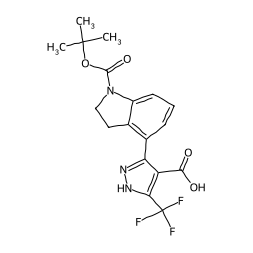 CC(C)(C)OC(=O)N1CCc2c(-c3n[nH]c(C(F)(F)F)c3C(=O)O)cccc21